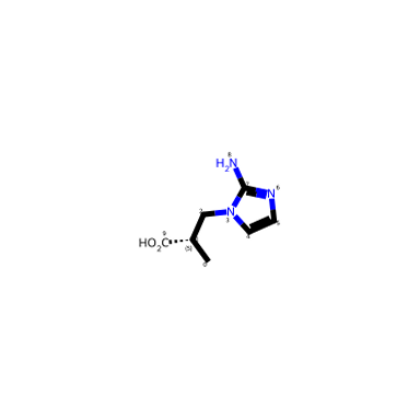 C[C@@H](Cn1ccnc1N)C(=O)O